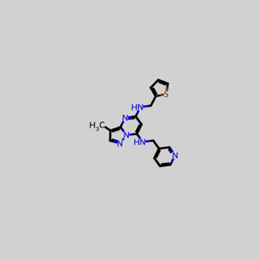 Cc1cnn2c(NCc3cccnc3)cc(NCc3cccs3)nc12